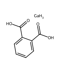 O=C(O)c1ccccc1C(=O)O.[GaH3]